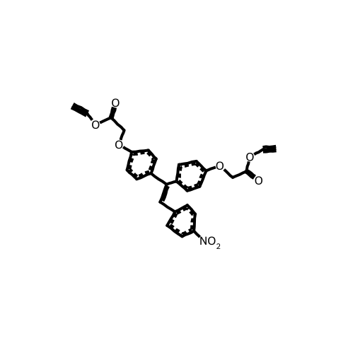 C#COC(=O)COc1ccc(C(=Cc2ccc([N+](=O)[O-])cc2)c2ccc(OCC(=O)OC#C)cc2)cc1